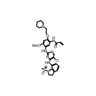 C=CC(=O)Nc1cc(Nc2ncc(Cl)c(Nc3cccc4c3N(S(C)(=O)=O)CC4)n2)c(OC)cc1OCCN1CCCCC1